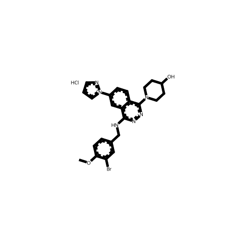 COc1ccc(CNc2nnc(N3CCC(O)CC3)c3ccc(-n4cccn4)cc23)cc1Br.Cl